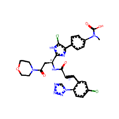 CN(C(=O)O)c1ccc(-c2nc([C@H](CC(=O)N3CCOCC3)NC(=O)/C=C/c3cc(Cl)ccc3-n3cnnn3)[nH]c2Cl)cc1